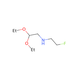 CCOC(CNCCF)OCC